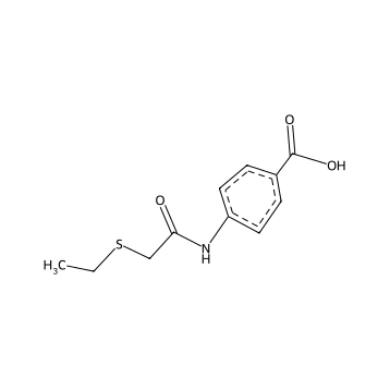 CCSCC(=O)Nc1ccc(C(=O)O)cc1